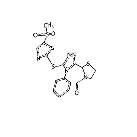 CS(=O)(=O)c1cnc(Sc2nnc(C3SCCN3C=O)n2-c2ccccc2)s1